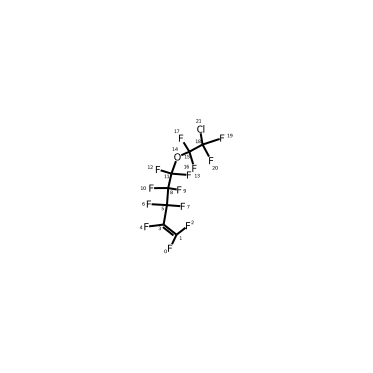 FC(F)=C(F)C(F)(F)C(F)(F)C(F)(F)OC(F)(F)C(F)(F)Cl